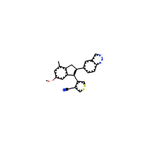 COc1cc(C)c2c(c1)C(c1cscc1C#N)=C(c1ccc3[nH]ncc3c1)C2